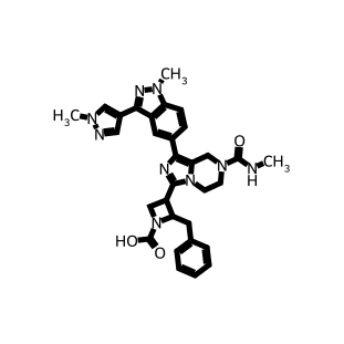 CNC(=O)N1CCn2c(C3CN(C(=O)O)C3Cc3ccccc3)nc(-c3ccc4c(c3)c(-c3cnn(C)c3)nn4C)c2C1